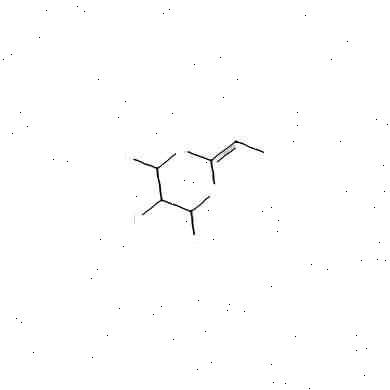 CC=C1SC(F)C(F)C(F)S1